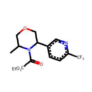 CCOC(=O)C(=O)N1C(C)COCC1c1ccc(C(F)(F)F)nc1